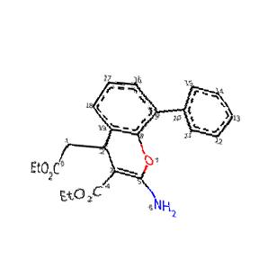 CCOC(=O)CC1C(C(=O)OCC)=C(N)Oc2c(-c3ccccc3)cccc21